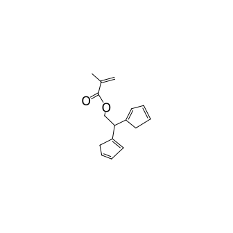 C=C(C)C(=O)OCC(C1=CC=CC1)C1=CC=CC1